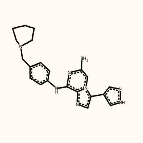 Bc1cn2c(-c3cn[nH]c3)cnc2c(Nc2ccc(CN3CCCCC3)cc2)n1